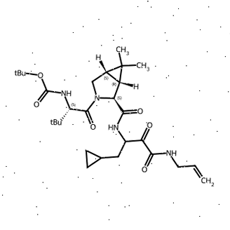 C=CCNC(=O)C(=O)C(CC1CC1)NC(=O)[C@@H]1[C@@H]2[C@H](CN1C(=O)[C@@H](NC(=O)OC(C)(C)C)C(C)(C)C)C2(C)C